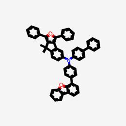 CC1(C)c2ccc(N(c3ccc(-c4ccccc4)cc3)c3ccc(-c4cccc5c4oc4ccccc45)cc3)cc2-c2c(-c3ccccc3)oc(-c3ccccc3)c21